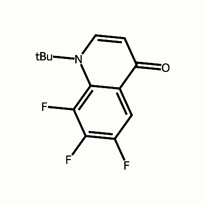 CC(C)(C)n1ccc(=O)c2cc(F)c(F)c(F)c21